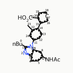 CCCCc1nc2ccc(NC(C)=O)cc2n1-c1ccc(-c2ccccc2C(=O)O)c(C)c1